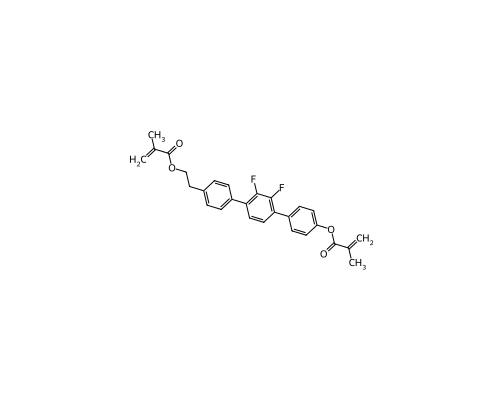 C=C(C)C(=O)OCCc1ccc(-c2ccc(-c3ccc(OC(=O)C(=C)C)cc3)c(F)c2F)cc1